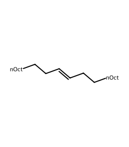 [CH2]CCCCCCCCCC=CCCCCCCCCC[CH2]